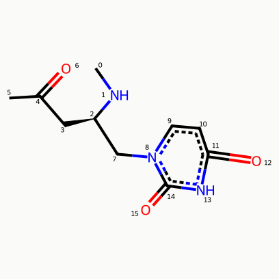 CN[C@H](CC(C)=O)Cn1ccc(=O)[nH]c1=O